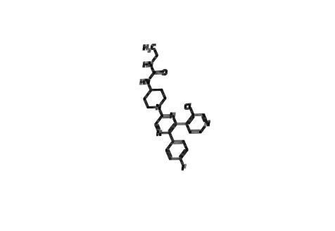 CCNC(=O)NC1CCN(c2cnc(-c3ccc(F)cc3)c(-c3ccncc3Cl)n2)CC1